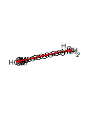 NC(=O)[C@@H](N)CCCCNC(=O)CCOCCOCCOCCOCCOCCOCCOCCOCCOCCOCCOCCOCCNC(=O)[C@H](O)[C@@H](O)[C@H](O)[C@H](O)CO